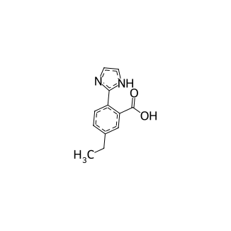 CCc1ccc(-c2ncc[nH]2)c(C(=O)O)c1